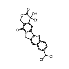 CCC1(O)C(=O)OCc2c1cc1n(c2=O)Cc2cc3cc(C(Cl)Cl)ccc3nc2-1